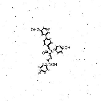 O=Cc1cncc(-c2ccc(N3C(=O)[C@H](SC[C@H](O)c4ccc(F)cc4)[C@H]3c3ccc(O)cc3)cc2)c1